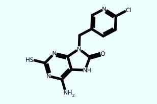 Nc1nc(S)nc2c1[nH]c(=O)n2Cc1ccc(Cl)nc1